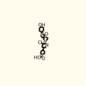 O=C(O)N1CC=C(c2cnc(N3CCC[C@]4(CCN([C@H]5CC[C@H](O)CC5)C4=O)C3)c(Cl)c2)CC1